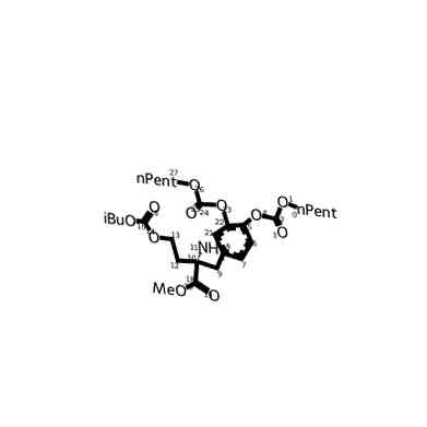 CCCCCOC(=O)Oc1ccc(C[C@](N)(CCOC(=O)OCC(C)C)C(=O)OC)cc1OC(=O)OCCCCC